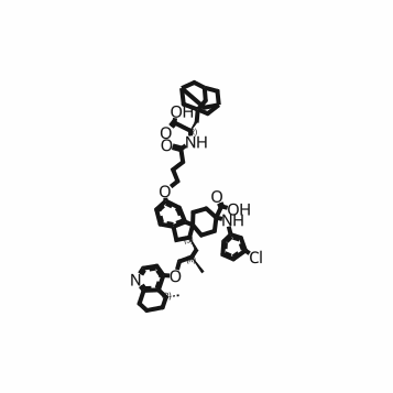 C[C@@H](COc1ccnc2c1[C@H](C)CCC2)C[C@H]1Cc2ccc(OCCCC(=O)N[C@H](CC34CC5CC(CC(C5)C3)C4)C(=O)O)cc2C12CCC(Nc1cccc(Cl)c1)(C(=O)O)CC2